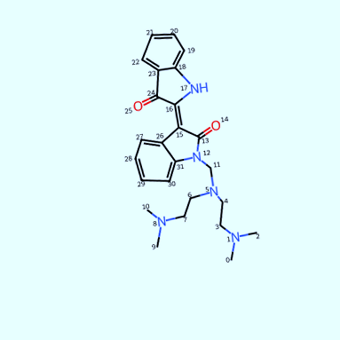 CN(C)CCN(CCN(C)C)CN1C(=O)/C(=C2\Nc3ccccc3C2=O)c2ccccc21